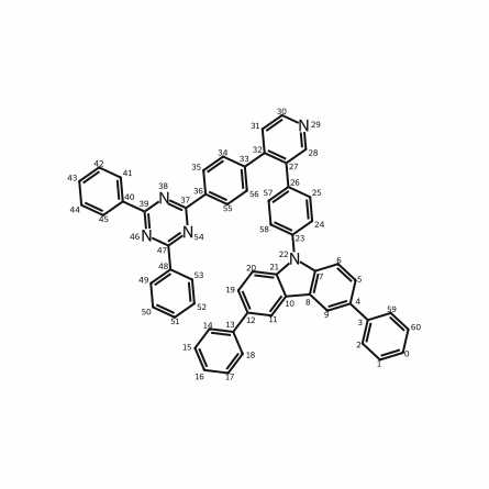 c1ccc(-c2ccc3c(c2)c2cc(-c4ccccc4)ccc2n3-c2ccc(-c3cnccc3-c3ccc(-c4nc(-c5ccccc5)nc(-c5ccccc5)n4)cc3)cc2)cc1